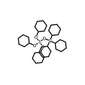 C1CCC([O][Ti]([O]C2CCCCC2)([O]C2CCCCC2)[O][Si](C2CCCCC2)(C2CCCCC2)C2CCCCC2)CC1